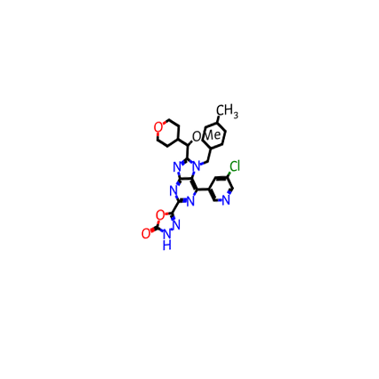 COC(c1nc2nc(-c3n[nH]c(=O)o3)nc(-c3cncc(Cl)c3)c2n1CC1CCC(C)CC1)C1CCOCC1